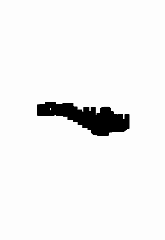 C=C1CC[C@@]2(O)C3Cc4ccc(OC(=O)CCCCCCCCCCCCCCCCCCCCC)c5c4[C@@]2(CCN3CC2CC2)[C@H]1O5